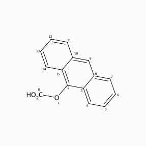 O=C(O)Oc1c2ccccc2cc2ccccc12